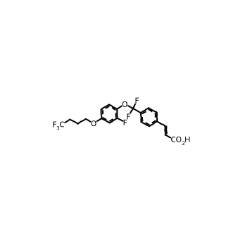 O=C(O)C=Cc1ccc(C(F)(F)Oc2ccc(OCCCC(F)(F)F)cc2F)cc1